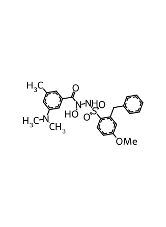 COc1ccc(S(=O)(=O)NN(O)C(=O)c2cc(C)cc(N(C)C)c2)c(Cc2ccccc2)c1